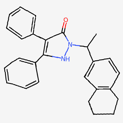 CC(c1ccc2c(c1)CCCC2)n1[nH]c(-c2ccccc2)c(-c2ccccc2)c1=O